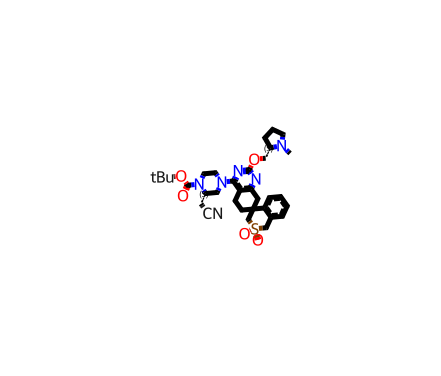 CN1CCC[C@H]1COc1nc2c(c(N3CCN(C(=O)OC(C)(C)C)[C@@H](CC#N)C3)n1)CCC1(C2)CS(=O)(=O)Cc2ccccc21